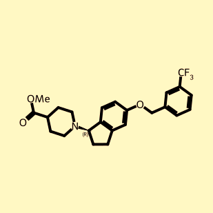 COC(=O)C1CCN([C@@H]2CCc3cc(OCc4cccc(C(F)(F)F)c4)ccc32)CC1